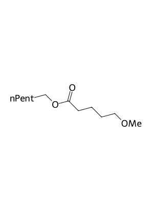 CCCCCCOC(=O)CCCCOC